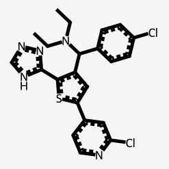 CCN(CC)C(c1ccc(Cl)cc1)c1cc(-c2ccnc(Cl)c2)sc1-c1nnc[nH]1